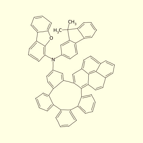 CC1(C)c2ccccc2-c2ccc(N(c3ccc4c5ccccc5c5ccccc5c5ccccc5c5c(cc6ccc7cccc8ccc5c6c78)c4c3)c3cccc4c3oc3ccccc34)cc21